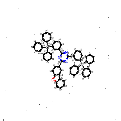 c1ccc([Si](c2ccccc2)(c2ccccc2)c2cccc(-c3nc(-c4cccc([Si](c5ccccc5)(c5ccccc5)c5ccccc5)c4)nc(-c4ccc5oc6ccccc6c5c4)n3)c2)cc1